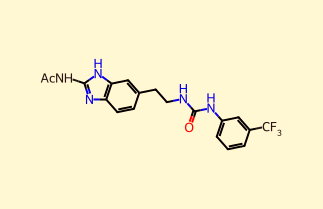 CC(=O)Nc1nc2ccc(CCNC(=O)Nc3cccc(C(F)(F)F)c3)cc2[nH]1